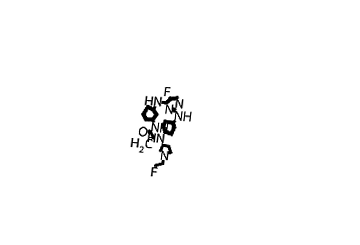 C=CC(=O)Nc1cccc(Nc2nc(Nc3ccc(N[C@@H]4CCN(CCF)C4)cc3)ncc2F)c1